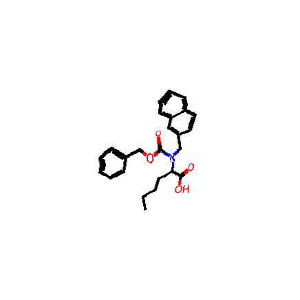 CCCCC(C(=O)O)N(Cc1ccc2ccccc2c1)C(=O)OCc1ccccc1